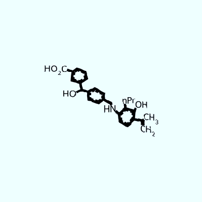 C=C(C)c1ccc(NCc2ccc(C(O)c3cccc(C(=O)O)c3)cc2)c(CCC)c1O